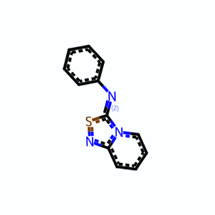 c1ccc(/N=c2\snc3ccccn23)cc1